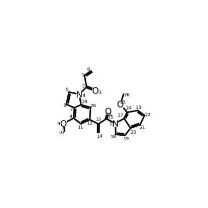 C=CC(=O)n1ccc2c(OC)cc(C(=C)C(=O)n3ccc4cccc(OC)c43)cc21